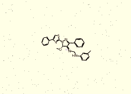 COC1/C(=N/CNc2cccc(C)c2)C(c2ccccc2)=NN1c1nc(-c2ccccc2)cs1